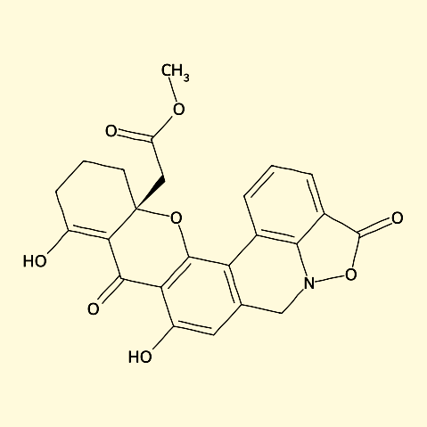 COC(=O)C[C@]12CCCC(O)=C1C(=O)c1c(O)cc3c(c1O2)-c1cccc2c(=O)on(c12)C3